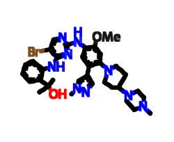 COc1cc(N2CCC(N3CCN(C)CC3)CC2)c(-c2cnn(C)c2)cc1Nc1ncc(Br)c(Nc2ccccc2C(C)(C)O)n1